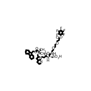 CN(Cc1cc2cccnc2n1CCC(=O)N[C@@H](CS(=O)(=O)O)C(=O)NCCOCCOCCC(=O)Oc1c(F)c(F)c(F)c(F)c1F)N(C)C(=O)OCC1c2ccccc2-c2ccccc21